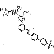 CC(=NNC(=N)N)c1sc(-c2cccc(N=Cc3ccc(-c4ccc(C(F)(F)F)cc4)cc3)c2)nc1C